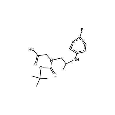 CC(CN(CC(=O)O)C(=O)OC(C)(C)C)Nc1ccc(F)cc1